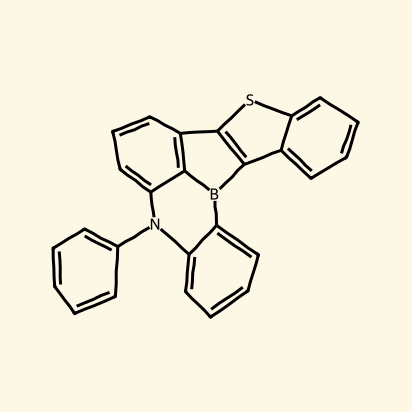 c1ccc(N2c3ccccc3B3c4c(cccc42)-c2sc4ccccc4c23)cc1